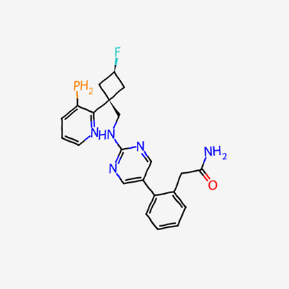 NC(=O)Cc1ccccc1-c1cnc(NC[C@]2(c3ncccc3P)C[C@H](F)C2)nc1